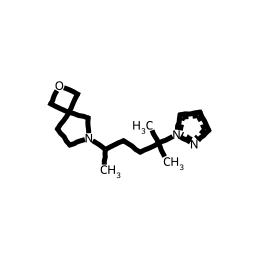 CC(CCC(C)(C)n1cccn1)N1CCC2(COC2)C1